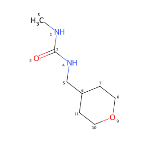 CNC(=O)NCC1CCOCC1